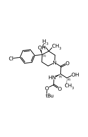 C[C@@H](O)[C@@H](NC(=O)OC(C)(C)C)C(=O)N1CC[C@](O)(c2ccc(Cl)cc2)C(C)(C)C1